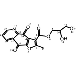 Cc1oc2c(c1C(=O)OCC(O)CO)C(=O)c1ncccc1C2=O